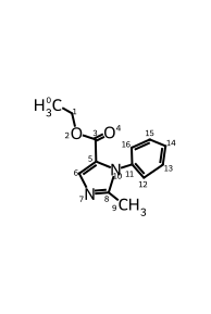 CCOC(=O)c1cnc(C)n1-c1ccccc1